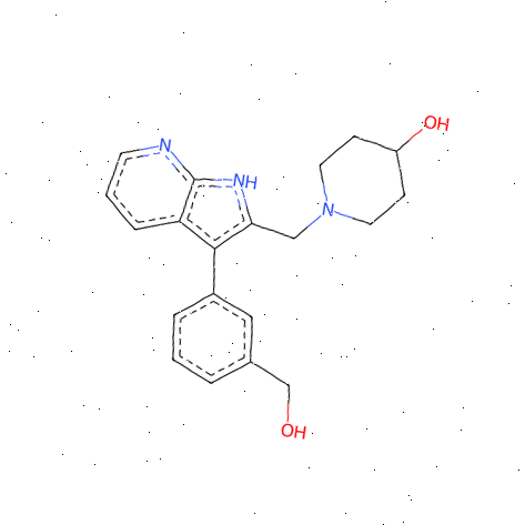 OCc1cccc(-c2c(CN3CCC(O)CC3)[nH]c3ncccc23)c1